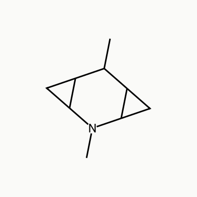 CC1C2CC2N(C)C2CC12